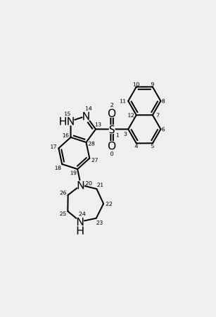 O=S(=O)(c1cccc2ccccc12)c1n[nH]c2ccc(N3CCCNCC3)cc12